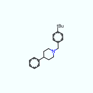 CC(C)(C)c1ccc(CN2CCC(c3ccccc3)CC2)cc1